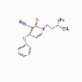 CC(C)CCn1ccc(Oc2ccccc2)c(C#N)c1=O